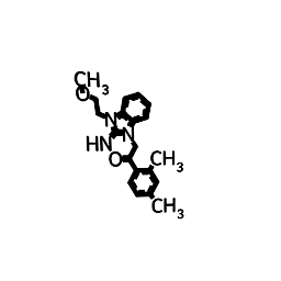 COCCn1c(=N)n(CC(=O)c2ccc(C)cc2C)c2ccccc21